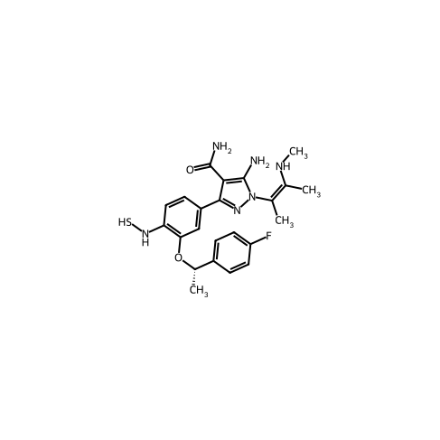 CN/C(C)=C(/C)n1nc(-c2ccc(NS)c(O[C@@H](C)c3ccc(F)cc3)c2)c(C(N)=O)c1N